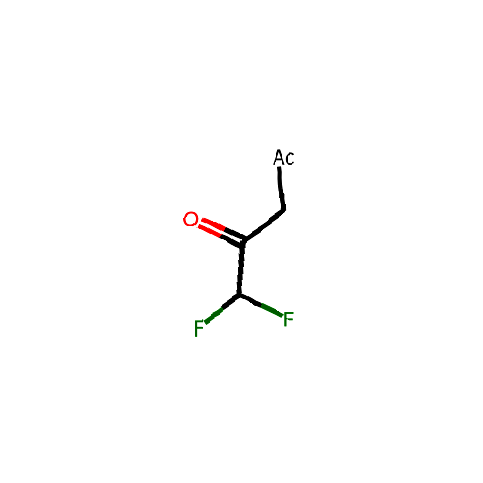 CC(=O)CC(=O)C(F)F